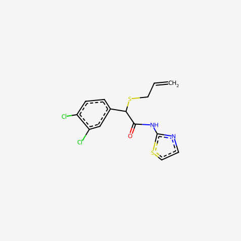 C=CCSC(C(=O)Nc1nccs1)c1ccc(Cl)c(Cl)c1